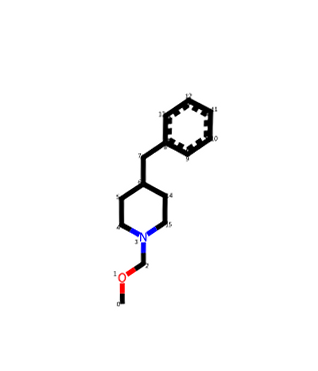 COCN1CCC(Cc2ccccc2)CC1